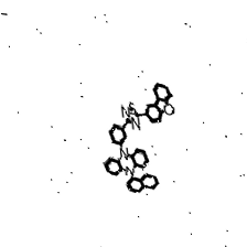 c1cc(-c2nsc(-c3ccc4oc5ccccc5c4c3)n2)cc(N2c3ccccc3N(c3cccc4ccccc34)c3ccccc32)c1